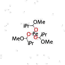 COC([O][Fe]([O]C(OC)C(C)C)[O]C(OC)C(C)C)C(C)C